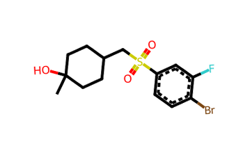 CC1(O)CCC(CS(=O)(=O)c2ccc(Br)c(F)c2)CC1